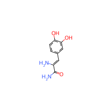 NC(=O)C(N)=Cc1ccc(O)c(O)c1